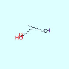 CCCC(CCCCCCCC(=O)O)CCCCCCc1ccc(I)cc1